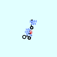 CN1C(=O)[C@H](NC(=O)Nc2cccc(CNc3ncc[nH]3)c2)N=C(C2CCCCCC2)c2ccccc21